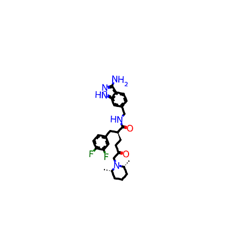 C[C@@H]1CCC[C@H](C)N1CC(=O)CC[C@@H](Cc1ccc(F)c(F)c1)C(=O)NCc1ccc2c(N)n[nH]c2c1